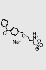 NC(CCOCc1ccc(C(=O)c2ccccc2)cc1)CS(=O)(=O)[O-].[Na+]